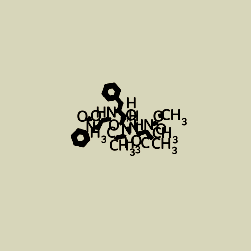 COC(=O)NC(C(=O)NN(CC(C)C)C[C@H](O)C(Cc1ccccc1)NC(=O)C1CN(c2ccccc2)C(=O)O1)C(C)(C)C